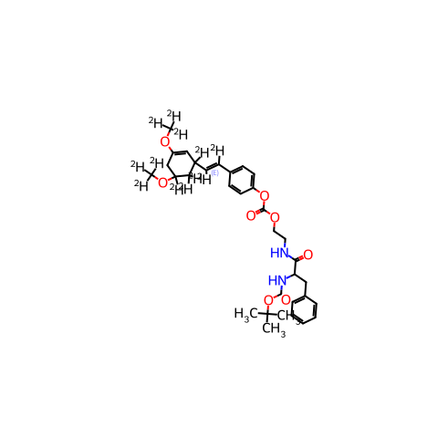 [2H]/C(=C(/[2H])C1([2H])C=C(OC([2H])([2H])[2H])CC([2H])(OC([2H])([2H])[2H])C1([2H])[2H])c1ccc(OC(=O)OCCNC(=O)C(Cc2ccccc2)NC(=O)OC(C)(C)C)cc1